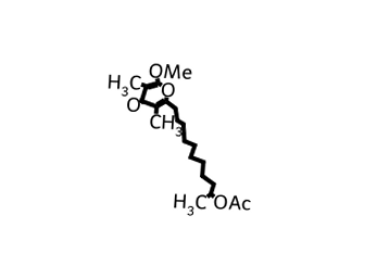 COc1oc(CCCCCCCCCC(C)OC(C)=O)c(C)c(=O)c1C